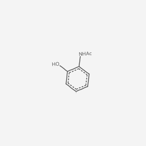 CC(=O)Nc1cc[c]cc1O